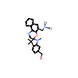 CCN(CC)Cc1cc2ccccc2c2c1OC1(C=N2)N(C)c2cc(CBr)ccc2C1(C)C